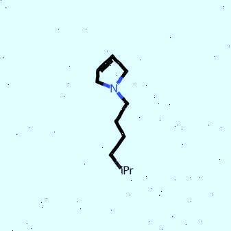 CC(C)CCCCN1CC=CC1